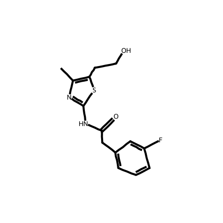 Cc1nc(NC(=O)Cc2cccc(F)c2)sc1CCO